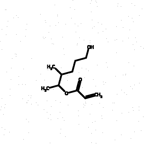 C=CC(=O)OC(C)C(C)CCCO